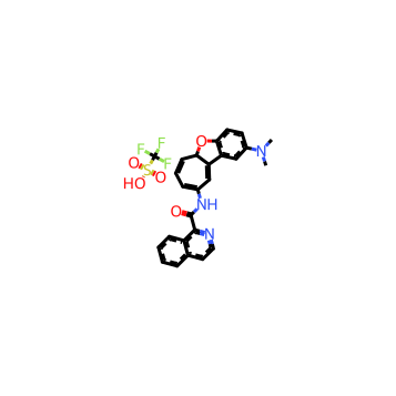 CN(C)c1ccc2c(c1)C1=CC(NC(=O)c3nccc4ccccc34)=CC=CC1O2.O=S(=O)(O)C(F)(F)F